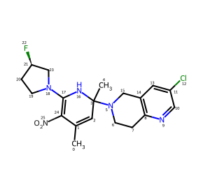 CC1=CC(C)(N2CCc3ncc(Cl)cc3C2)NC(N2CC[C@@H](F)C2)=C1[N+](=O)[O-]